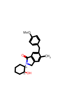 COc1ccc(Cc2cc3c(cc2C)CN([C@H]2CCCC[C@@H]2O)C3=O)cc1